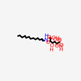 CCCCCCCCCCC/C=C/NO[C@@H](C(=O)O)[C@@H](O)[C@H](O)[C@H](O)C(=O)O